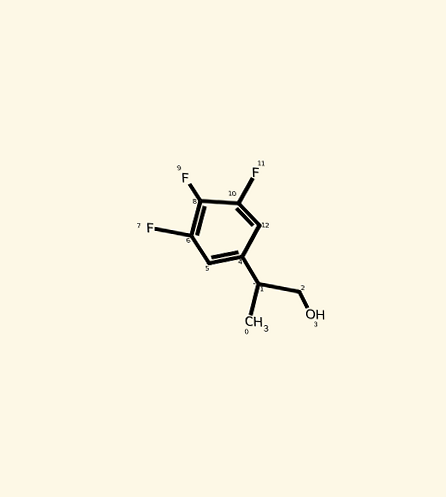 C[C](CO)c1cc(F)c(F)c(F)c1